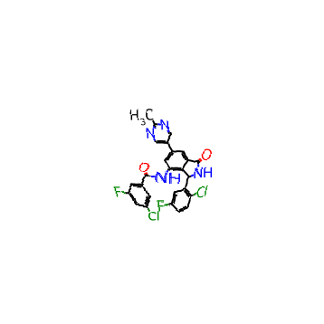 Cc1ncc(-c2cc(NC(=O)c3cc(F)cc(Cl)c3)c3c(c2)C(=O)NC3c2cc(F)ccc2Cl)cn1